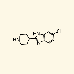 Clc1ccc2nc(C3CCNCC3)[nH]c2c1